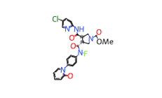 COC(=O)N1C[C@H](C(=O)Nc2ccc(Cl)cn2)[C@@H](C(=O)N(F)c2ccc(-n3ccccc3=O)cc2)C1